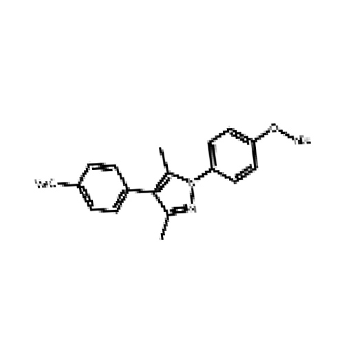 CCCCOc1ccc(-n2nc(C)c(-c3ccc(OC)cc3)c2C)cc1